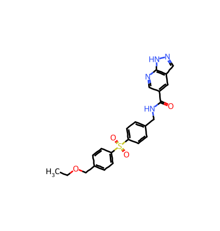 CCOCc1ccc(S(=O)(=O)c2ccc(CNC(=O)c3cnc4[nH]ncc4c3)cc2)cc1